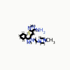 CN1CCN(CCn2cnc(-c3ccccc3)c2-c2cc3c(N)ncnc3s2)CC1